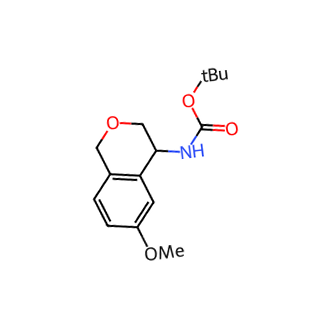 COc1ccc2c(c1)C(NC(=O)OC(C)(C)C)COC2